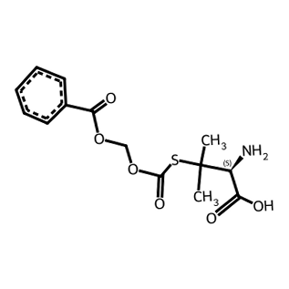 CC(C)(SC(=O)OCOC(=O)c1ccccc1)[C@@H](N)C(=O)O